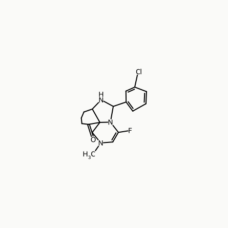 CN1C=C(F)N2C(c3cccc(Cl)c3)NC3CCCC(=O)C32C1